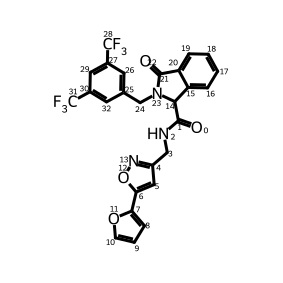 O=C(NCc1cc(-c2ccco2)on1)C1c2ccccc2C(=O)N1Cc1cc(C(F)(F)F)cc(C(F)(F)F)c1